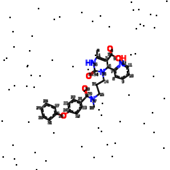 CC1=C(C(=O)O)C(c2ccccn2)N(CCCN(C)C(=O)c2ccc(Oc3ccccc3)cc2)C(=O)N1